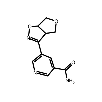 NC(=O)c1cncc(C2=NOC3COCC23)c1